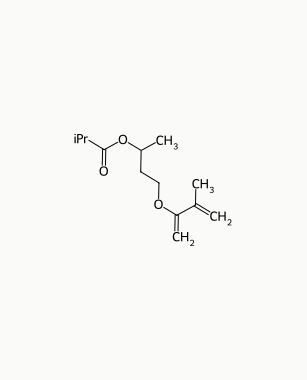 C=C(C)C(=C)OCCC(C)OC(=O)C(C)C